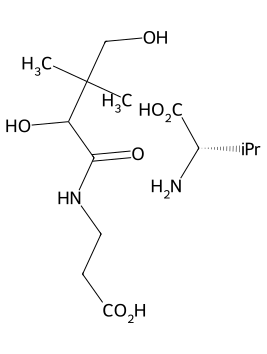 CC(C)(CO)C(O)C(=O)NCCC(=O)O.CC(C)[C@H](N)C(=O)O